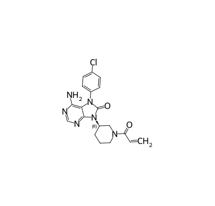 C=CC(=O)N1CCC[C@@H](n2c(=O)n(-c3ccc(Cl)cc3)c3c(N)ncnc32)C1